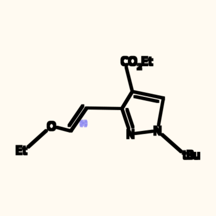 CCO/C=C/c1nn(C(C)(C)C)cc1C(=O)OCC